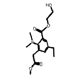 CCc1cc(CC(=O)OC)c(N(C)C)c(C(=O)OCCO)c1